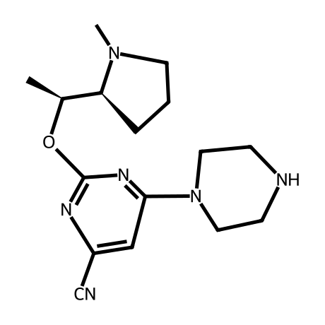 C[C@H](Oc1nc(C#N)cc(N2CCNCC2)n1)[C@@H]1CCCN1C